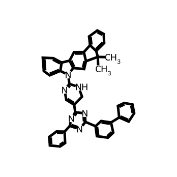 CC1(C)c2ccccc2-c2cc3c4ccccc4n(C4=NC=C(c5nc(-c6ccccc6)nc(-c6cccc(-c7ccccc7)c6)n5)CN4)c3cc21